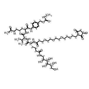 CPC(=O)OCc1ccc(NC(=O)[C@H](CCCNC(N)=O)NC(=O)[C@@H](NC(=O)[C@@H](CCCC(=O)NC[C@H](O)[C@@H](O)[C@H](O)[C@H](O)CO)NC(=O)CCOCCOCCOCCOCCN2C(=O)CC(S)C2=O)C(C)C)cc1